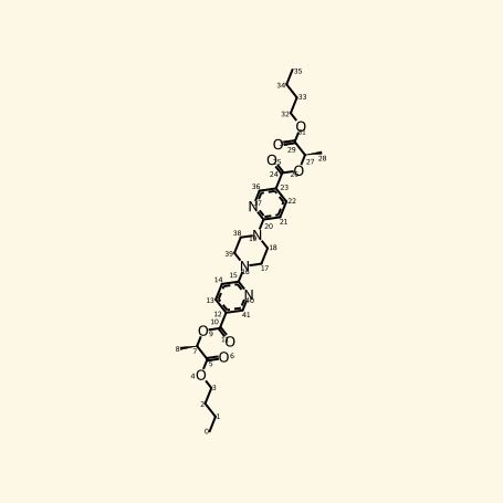 CCCCOC(=O)[C@@H](C)OC(=O)c1ccc(N2CCN(c3ccc(C(=O)O[C@H](C)C(=O)OCCCC)cn3)CC2)nc1